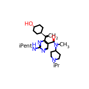 C=C(c1nc(NC(C)CCC)ncc1C(=O)N(C)C1CCN(C(C)C)CC1)[C@H]1CC[C@H](O)CC1